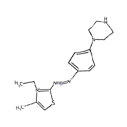 CC[n+]1c(C)csc1/N=N/c1ccc(N2CCNCC2)cc1